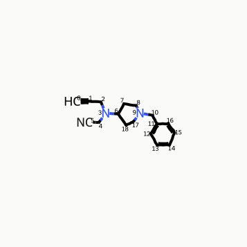 C#CCN(CC#N)C1CCN(Cc2ccccc2)CC1